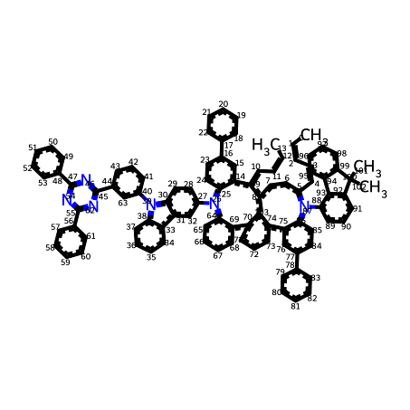 C/C=C\C=C/c1ccc2/c(=C\C=C/C)c3cc(-c4ccccc4)ccc3n(-c3ccc4c(c3)c3ccccc3n4-c3cccc(-c4nc(-c5ccccc5)nc(-c5ccccc5)n4)c3)c3ccccc3c3cccc(c4cc(-c5ccccc5)ccc4n1-c1cccc4c1-c1ccccc1C4(C)C)c23